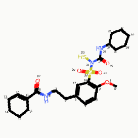 COc1ccc(CCNC(=O)C2=CCCCC2)cc1S(=O)(=O)N(S)C(=O)NC1CCCCC1